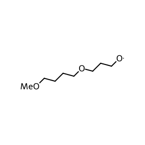 COCCCCOCCC[O]